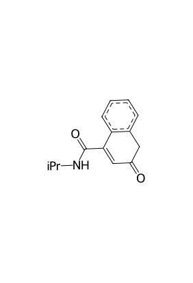 CC(C)NC(=O)C1=CC(=O)Cc2ccccc21